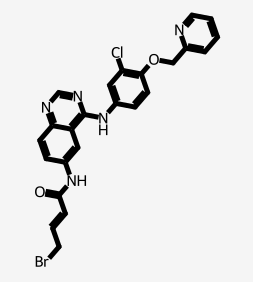 O=C(C=CCBr)Nc1ccc2ncnc(Nc3ccc(OCc4ccccn4)c(Cl)c3)c2c1